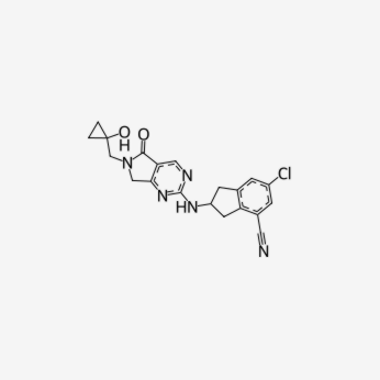 N#Cc1cc(Cl)cc2c1CC(Nc1ncc3c(n1)CN(CC1(O)CC1)C3=O)C2